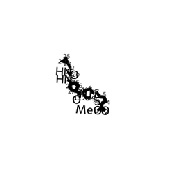 COC(=O)c1ccc(CN2CCN(C(=O)c3ccc(NC(=O)NCC4CC4)cc3)CC2)s1